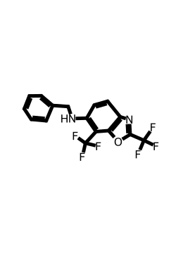 FC(F)(F)c1nc2ccc(NCc3ccccc3)c(C(F)(F)F)c2o1